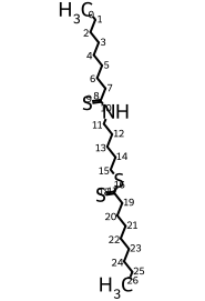 CCCCCCCCC(=S)NCCCCCSC(=S)CCCCCCCC